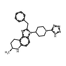 C[C@H]1CCc2c(ccc3c2nc(Cc2ccccc2)n3C2CCN(c3nnn[nH]3)CC2)N1